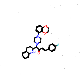 O=C(C=Cc1ccc(F)cc1)C(C1CCc2ccccc2N1)N1CCN(c2cccc3c2OCCO3)CC1